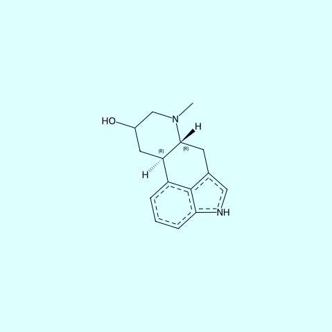 CN1CC(O)C[C@@H]2c3cccc4[nH]cc(c34)C[C@H]21